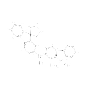 CC(C)N(c1ccc2c(c1)C(C)(C)c1ccccc1-2)c1ccc2c(c1)C1(CCCC1)c1ccccc1-2